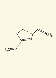 C=CC1=CC(C=C)CC1